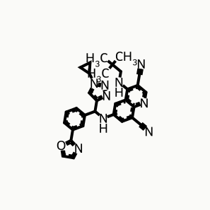 CC(C)(C)CNc1c(C#N)cnc2c(C#N)cc(NC(c3cccc(-c4ncco4)c3)c3cn(C4CC4)nn3)cc12